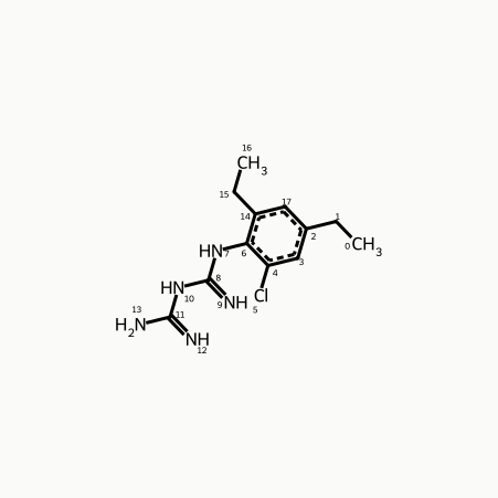 CCc1cc(Cl)c(NC(=N)NC(=N)N)c(CC)c1